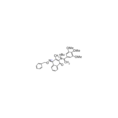 C=C(c1cc(OC)c(OC)c(OC)c1)N(CCCC)C1=C(C)/C(=N/OCc2ccccc2)c2ccccc2C1=O